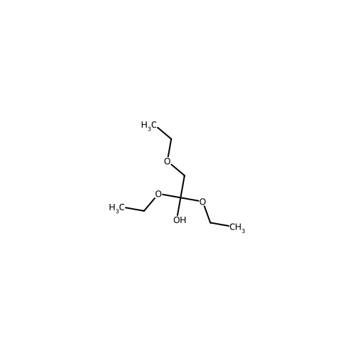 CCOCC(O)(OCC)OCC